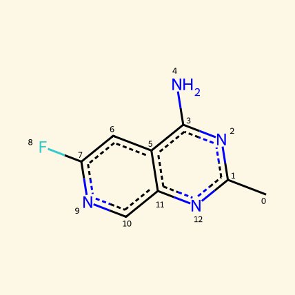 Cc1nc(N)c2cc(F)ncc2n1